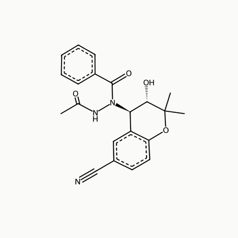 CC(=O)NN(C(=O)c1ccccc1)[C@@H]1c2cc(C#N)ccc2OC(C)(C)[C@H]1O